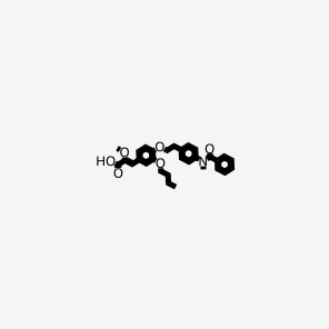 CCCCOc1cc(C=C(OC)C(=O)O)ccc1OCCc1ccc(N(C)C(=O)c2ccccc2)cc1